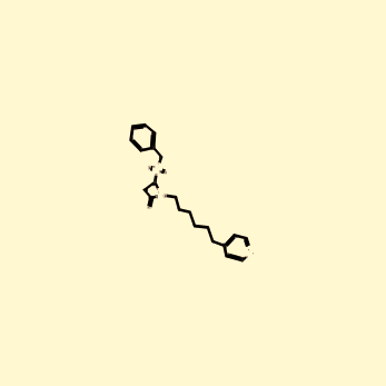 O=C1CC(S(=O)(=O)Cc2ccccc2)N1CCCCCCc1ccncc1